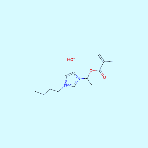 C=C(C)C(=O)OC(C)n1cc[n+](CCCC)c1.[OH-]